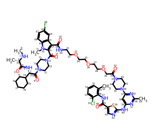 CN[C@@H](C)C(=O)N[C@H](C(=O)N1CCN(C(=O)c2c(C(=O)NCCOCCOCCOCC(=O)N3CCN(c4cc(Nc5ncc(C(=O)Nc6c(C)cccc6Cl)s5)nc(C)n4)CC3)c3cc(F)ccc3n2C)CC1)C1CCCCC1